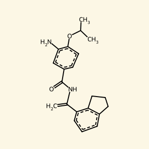 C=C(NC(=O)c1ccc(OC(C)C)c(N)c1)c1cccc2c1CCC2